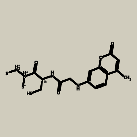 Cc1cc(=O)oc2cc(NCC(=O)N[C@@H](CS)C(=O)[NH+]([S-])[NH2+][S-])ccc12